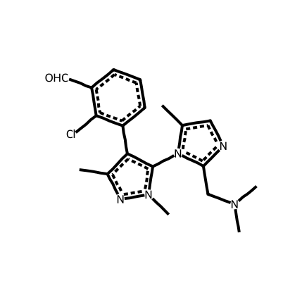 Cc1nn(C)c(-n2c(C)cnc2CN(C)C)c1-c1cccc(C=O)c1Cl